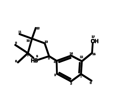 Cc1ccc(C2BC(C)(C)C(C)(C)C2)cc1CO